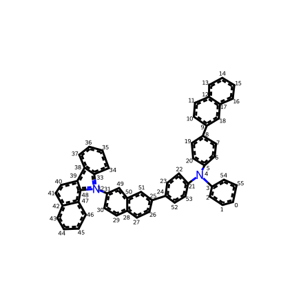 c1ccc(N(c2ccc(-c3ccc4ccccc4c3)cc2)c2ccc(-c3ccc4ccc(-n5c6ccccc6c6ccc7ccccc7c65)cc4c3)cc2)cc1